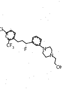 OCCN1CCN(c2cccc([C@H](F)CCc3ccc(Cl)cc3C(F)(F)F)c2)CC1